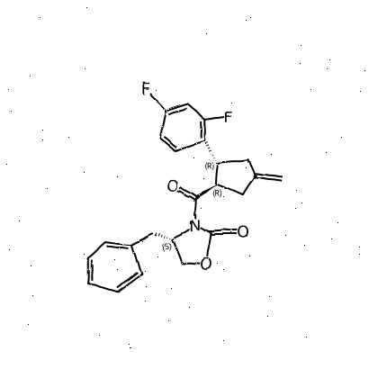 C=C1C[C@@H](C(=O)N2C(=O)OC[C@@H]2Cc2ccccc2)[C@H](c2ccc(F)cc2F)C1